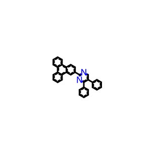 c1ccc(-c2cnc(-c3ccc4c5ccccc5c5ccccc5c4c3)nc2-c2ccccc2)cc1